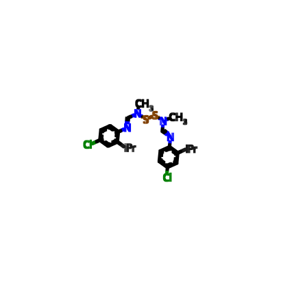 CC(C)c1cc(Cl)ccc1N=CN(C)SSN(C)C=Nc1ccc(Cl)cc1C(C)C